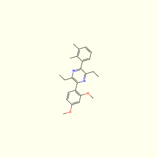 CCc1nc(-c2cccc(C)c2C)c(CC)nc1-c1ccc(OC)cc1OC